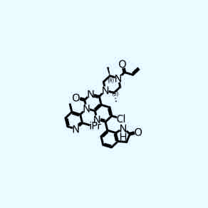 C=CC(=O)N1C[C@H](C)N(c2nc(=O)n(-c3c(C)ccnc3C(C)C)c3nc(-c4cccc5c4NC(=O)C5)c(Cl)cc23)C[C@H]1C